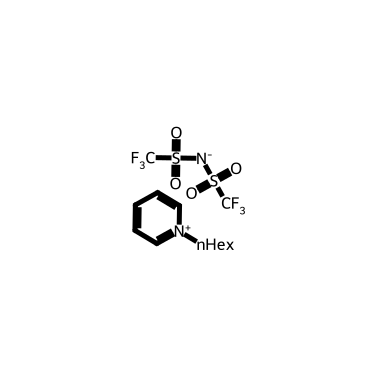 CCCCCC[n+]1ccccc1.O=S(=O)([N-]S(=O)(=O)C(F)(F)F)C(F)(F)F